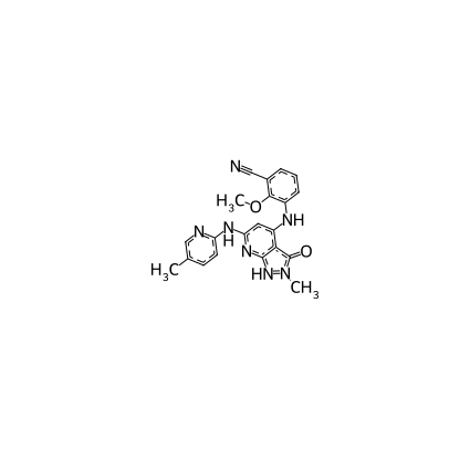 COc1c(C#N)cccc1Nc1cc(Nc2ccc(C)cn2)nc2[nH]n(C)c(=O)c12